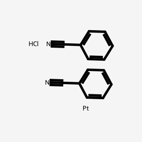 Cl.N#Cc1ccccc1.N#Cc1ccccc1.[Pt]